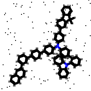 CC1(C)c2ccccc2-c2ccc(-c3ccc(N(c4ccc(-c5ccc(-c6cccc(-c7ccc8ccccc8c7)c6)cc5)cc4)c4ccc(-c5ccccc5-n5c6ccccc6c6ccccc65)cc4)cc3)cc21